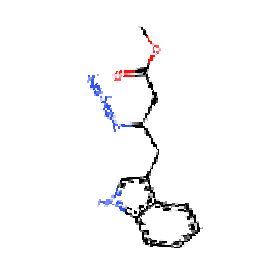 COC(=O)C[C@@H](Cc1c[nH]c2ccccc12)N=[N+]=[N-]